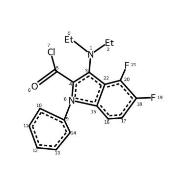 CCN(CC)c1c(C(=O)Cl)n(-c2ccccc2)c2ccc(F)c(F)c12